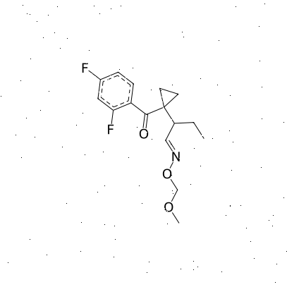 CCC(C=NOCOC)C1(C(=O)c2ccc(F)cc2F)CC1